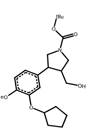 COc1ccc(C2CN(C(=O)OC(C)(C)C)CC2CO)cc1OC1CCCC1